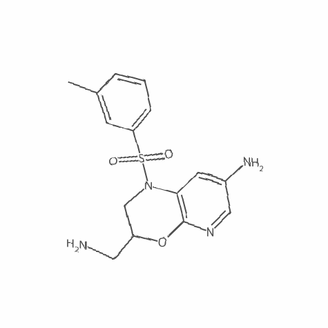 Cc1cccc(S(=O)(=O)N2CC(CN)Oc3ncc(N)cc32)c1